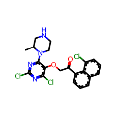 C[C@H]1CNCCN1c1nc(Cl)nc(Cl)c1OCC(=O)c1cccc2cccc(Cl)c12